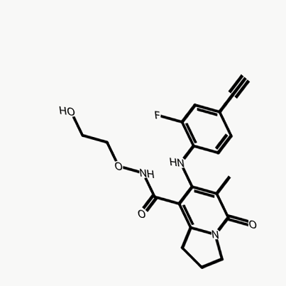 C#Cc1ccc(Nc2c(C(=O)NOCCO)c3n(c(=O)c2C)CCC3)c(F)c1